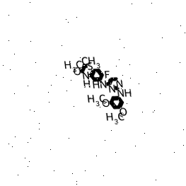 COc1cc(Nc2ncc(F)c(Nc3ccc4c(c3)NC(=O)C(C)(C)S4)n2)cc(OC)c1